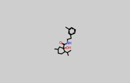 Cc1cccc(CCNC(=O)C2(O)CC(C)CCC2C(C)C)c1